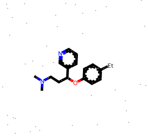 CCc1ccc(OC(CCN(C)C)c2cccnc2)cc1